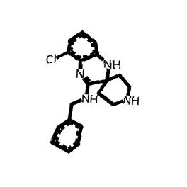 Clc1cccc2c1N=C(NCc1ccccc1)C1(CCNCC1)N2